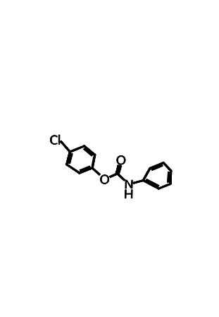 O=C(Nc1ccccc1)Oc1ccc(Cl)cc1